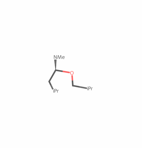 CN[C@H](CC(C)C)OCC(C)C